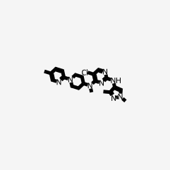 Cc1ccc(N2CCC(N(C)c3nc(Nc4cn(C)nc4C)ncc3Cl)CC2)nc1